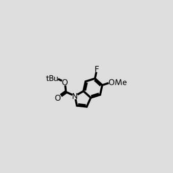 COc1cc2ccn(C(=O)OC(C)(C)C)c2cc1F